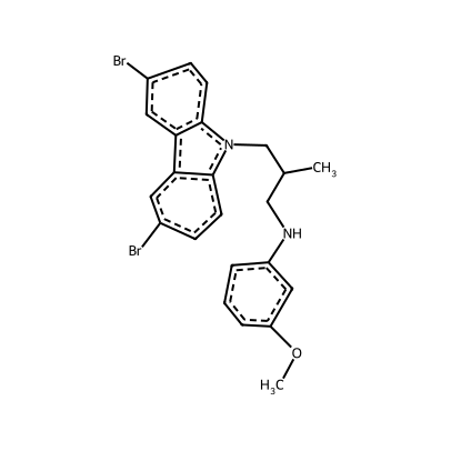 COc1cccc(NCC(C)Cn2c3ccc(Br)cc3c3cc(Br)ccc32)c1